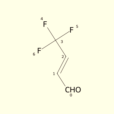 O=CC=CC(F)(F)F